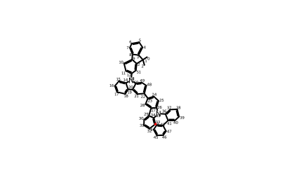 CC1(C)c2ccccc2-c2ccc(-n3c4ccccc4c4cc(-c5ccc6c(c5)c5ccccc5n6-c5ccccc5-c5ccccc5)ccc43)cc21